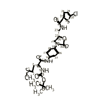 CSCC[C@@H](NC(=O)OC(C)(C)C)C(=O)Nc1ccc(N2C[C@H](CNC(=O)c3ccc(Cl)s3)OC2=O)cc1